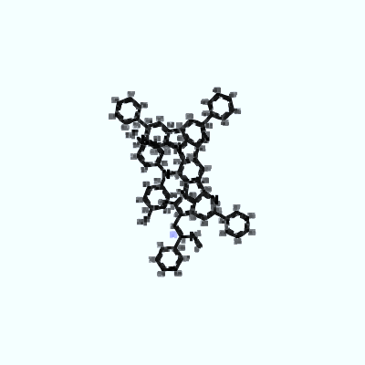 C=N/C(=C\c1c(C)n2c3c(N(c4ccc(F)cc4)c4ccc(F)cc4)c4c(cc3c3nc(-c5ccccc5)cc1c32)c1nc(-c2ccccc2)cc2c3cc(-c5ccccc5)ncc3n4c21)c1ccccc1